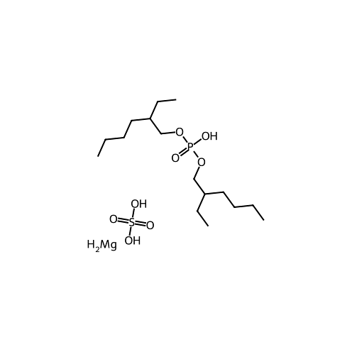 CCCCC(CC)COP(=O)(O)OCC(CC)CCCC.O=S(=O)(O)O.[MgH2]